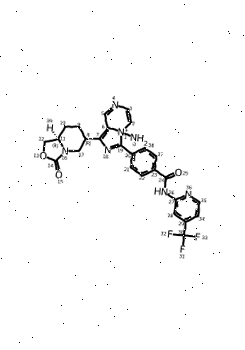 N[N+]12C=CN=CC1=C([C@@H]1CC[C@@H]3COC(=O)N3C1)N=C2c1ccc(C(=O)Nc2cc(C(F)(F)F)ccn2)cc1